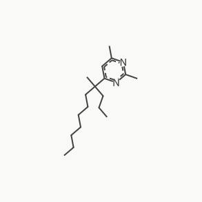 CCCCCCCC(C)(CCC)c1cc(C)nc(C)n1